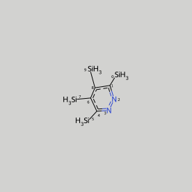 [SiH3]c1nnc([SiH3])c([SiH3])c1[SiH3]